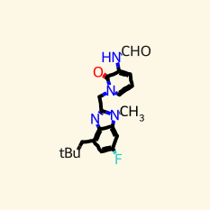 Cn1c(Cn2cccc(NC=O)c2=O)nc2c(CC(C)(C)C)cc(F)cc21